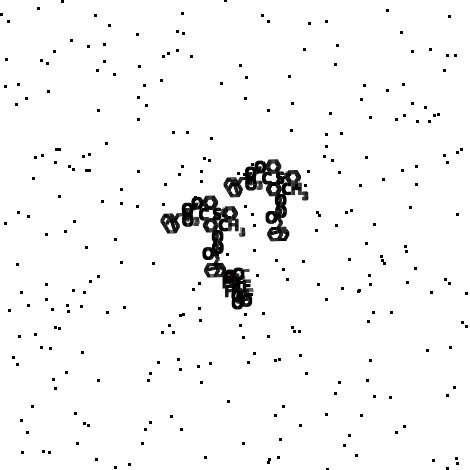 Cc1c(OCOC(=O)CC23CC4CC(CC(C4)C2)C3)cccc1[S+](c1ccccc1)c1cccc(OCOC(=O)CC23CC4CC(CC(C4)C2)C3)c1C.Cc1c(OCOC(=O)CC23CC4CC(CC(C4)C2)C3)cccc1[S+](c1ccccc1)c1cccc(OCOC(=O)CC23CC4CC(CC(C4)C2)C3)c1C.O=S(=O)([O-])C(F)(F)C(F)(F)C(F)(F)S(=O)(=O)[O-]